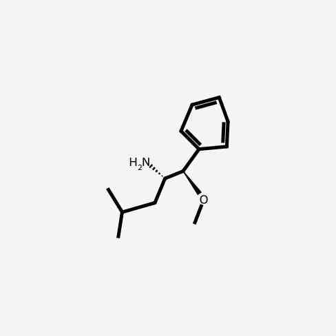 CO[C@H](c1ccccc1)[C@@H](N)CC(C)C